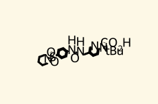 CC(C)(C)N(C(=O)O)c1ccc(CNC(=O)Nc2ccc(S(=O)(=O)N3CCCCC3)cc2)cn1